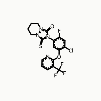 O=c1n(-c2cc(Oc3ncccc3C(F)(F)F)c(Cl)cc2F)c(=S)n2n1CCCC2